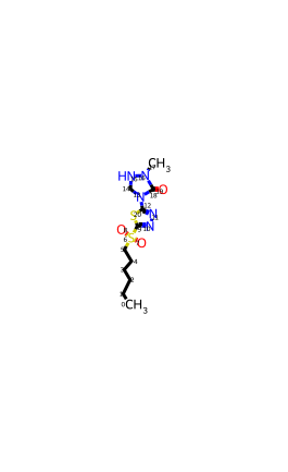 CCCCCCS(=O)(=O)c1nnc(N2CNN(C)C2=O)s1